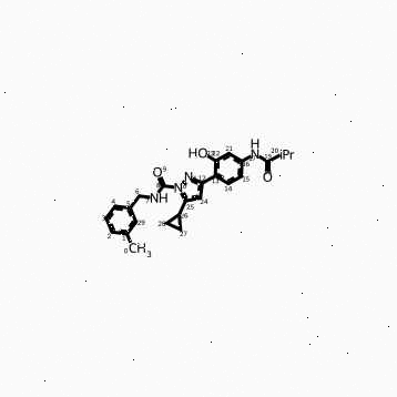 Cc1cccc(CNC(=O)n2nc(-c3ccc(NC(=O)C(C)C)cc3O)cc2C2CC2)c1